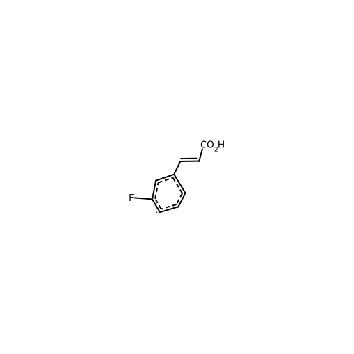 O=C(O)C=Cc1cc[c]c(F)c1